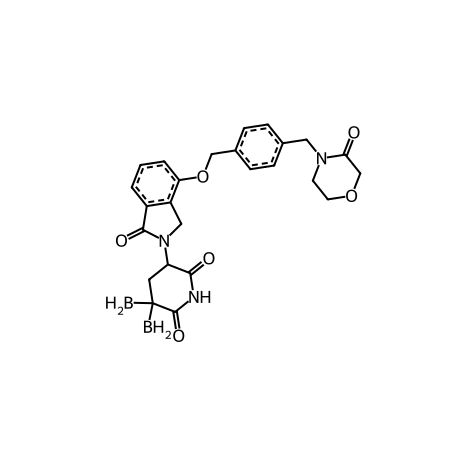 BC1(B)CC(N2Cc3c(OCc4ccc(CN5CCOCC5=O)cc4)cccc3C2=O)C(=O)NC1=O